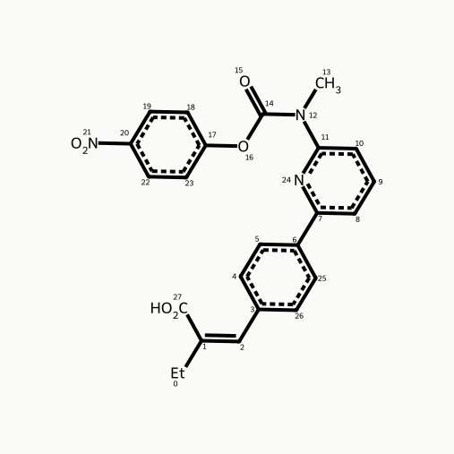 CCC(=Cc1ccc(-c2cccc(N(C)C(=O)Oc3ccc([N+](=O)[O-])cc3)n2)cc1)C(=O)O